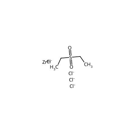 CCS(=O)(=O)CC.[Cl-].[Cl-].[Cl-].[Cl-].[Zr+4]